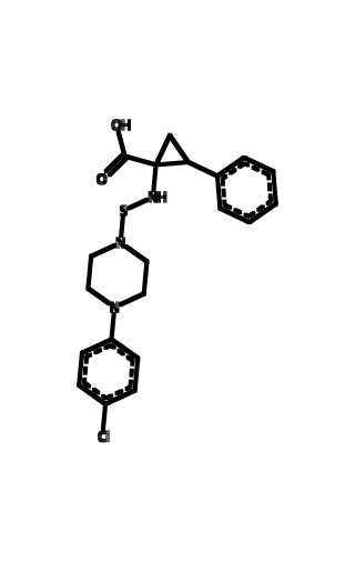 O=C(O)C1(NSN2CCN(c3ccc(Cl)cc3)CC2)CC1c1ccccc1